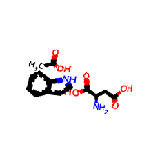 CC(=O)O.NC(CC(=O)O)C(=O)O.c1ccc2[nH]ccc2c1